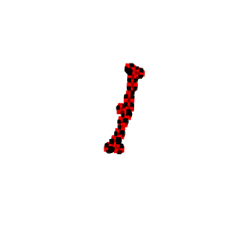 C(=C\c1ccc(-c2ccc3c(c2)c2ccccc2n3-c2ccccc2)cc1)/c1ccc(-c2ccc3c(c2)C2(CCCCC2)c2cc(-c4ccc(/C=C/c5ccc(-c6ccc7c(c6)c6ccccc6n7-c6ccccc6)cc5)cc4)ccc2-3)cc1